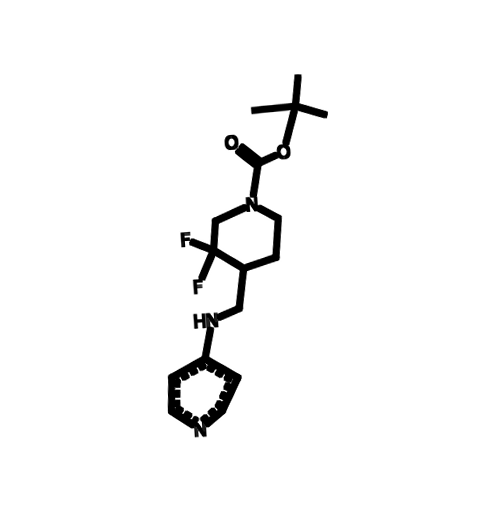 CC(C)(C)OC(=O)N1CCC(CNc2ccncc2)C(F)(F)C1